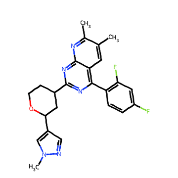 Cc1cc2c(-c3ccc(F)cc3F)nc(C3CCOC(c4cnn(C)c4)C3)nc2nc1C